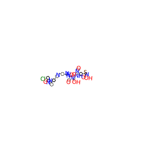 O=C(O)c1ncsc1-c1ccc([C@H](CN2CCOCC2)NC(=O)[C@@H]2C[C@@H](O)CN2C(=O)[C@H](C2CCOCC2)n2cc(C3CCC(CN4CCC(c5ccc6c(c5)-n5c(nc(=O)c7c(Cl)cccc75)C65CCCCC5)CC4)CC3)nn2)cc1